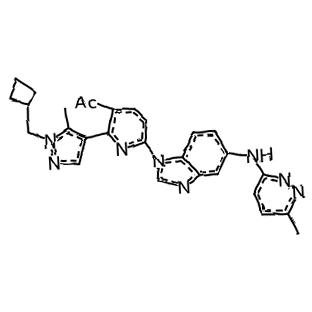 CC(=O)c1ccc(-n2cnc3cc(Nc4ccc(C)nn4)ccc32)nc1-c1cnn(CC2CCC2)c1C